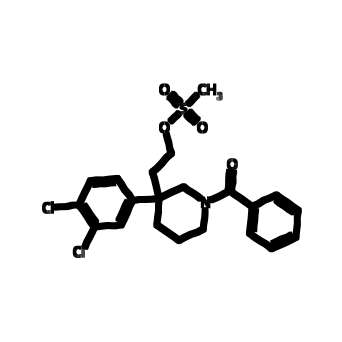 CS(=O)(=O)OCCC1(c2ccc(Cl)c(Cl)c2)CCCN(C(=O)c2ccccc2)C1